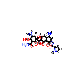 C[C@@H]1Cc2c(N(C)C)cc(NC(=O)[C@@H]3CCCN3C)c(O)c2C(=O)/C1=C(\O)[C@]1(O)C(=O)C(C(N)=O)=C(O)[C@@H](N(C)C)[C@@H]1C